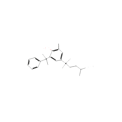 Cc1cc(C(C)(C)CCC(C)C(=O)O)cc(C(C)(C)c2ccccc2)c1O